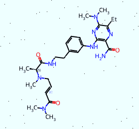 CCc1nc(C(N)=O)c(Nc2cccc(CCNC(=O)[C@H](C)N(C)C/C=C/C(=O)N(C)C)c2)nc1N(C)C